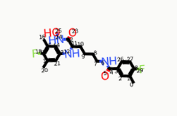 Cc1cc(C(=O)NCCCCC(Nc2cc(C)c(F)c(C)c2)C(=O)NO)ccc1F